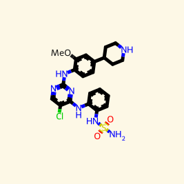 COc1cc(C2CCNCC2)ccc1Nc1ncc(Cl)c(Nc2ccccc2NS(N)(=O)=O)n1